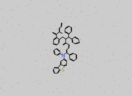 C=C/C=C(\C)C(=C)c1ccccc1CC(C(=C)/C=C\C=C(/c1ccccc1)N(c1ccccc1)c1ccc2sc3ccccc3c2c1)C(c1ccccc1)c1ccccc1